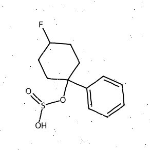 O=S(O)OC1(c2ccccc2)CCC(F)CC1